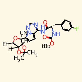 CC[C@H]1O[C@@](C#N)(c2ccc3c(NC(=O)[C@H](Cc4ccc(F)cc4)NC(=O)OC(C)(C)C)ncnn23)[C@@H]2OC(C)(C)O[C@@H]21